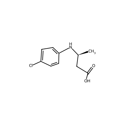 C[C@@H](CC(=O)O)Nc1ccc(Cl)cc1